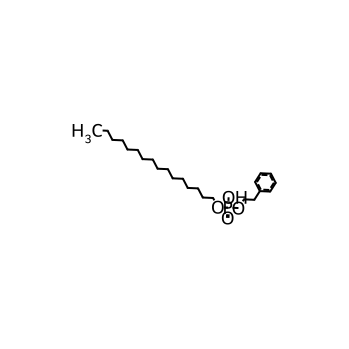 CCCCCCCCCCCCCCCCOP(=O)(O)OCCc1ccccc1